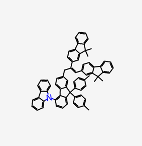 Cc1ccc(C2(c3ccc(C)cc3)c3cc(C/C(=C/c4ccc5c(c4)C(C)(C)c4ccccc4-5)c4ccc5c(c4)C(C)(C)c4ccccc4-5)ccc3-c3c(-n4c5ccccc5c5ccccc54)cccc32)cc1